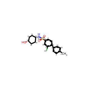 Cc1ccc(-c2ccc(S(=O)(=O)N[C@H]3CC[C@@H](O)CC3)cc2F)cc1